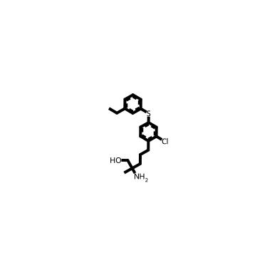 CCc1cccc(Sc2ccc(CCCC(C)(N)CO)c(Cl)c2)c1